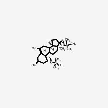 CC1=C2CC(O)CC[C@]2(CO[Si](C)(C)C)[C@@H]2CC[C@@]3(C)[C@@H](CCC3(C)O[Si](C)(C)C)[C@@H]2C1